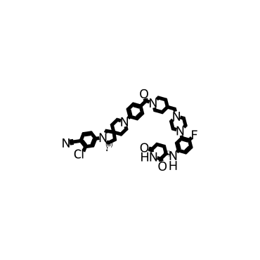 C[C@H]1CC2(CCN(c3ccc(C(=O)N4CCC(CN5CCN(c6cc(N[C@H]7CCC(=O)NC7=O)ccc6F)CC5)CC4)cc3)CC2)CN1c1ccc(C#N)c(Cl)c1